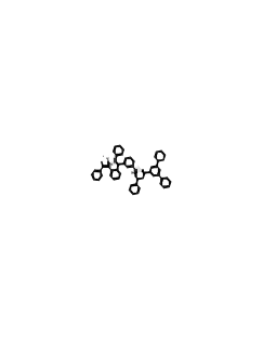 C1=CCC(c2cc(C3=NC(c4cccc(-c5c(-c6ccccc6)n6ncc(-c7ccccc7)c6c6ccccc56)c4)=NC(c4ccccc4)C3)cc(-c3ccccc3)c2)C=C1